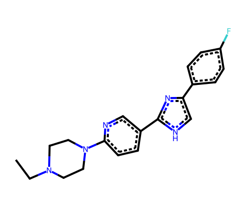 CCN1CCN(c2ccc(-c3nc(-c4ccc(F)cc4)c[nH]3)cn2)CC1